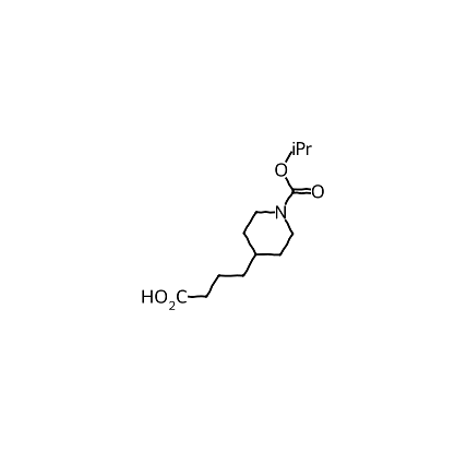 CC(C)OC(=O)N1CCC(CCCC(=O)O)CC1